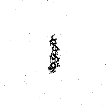 CCc1cnc(N2CCC(Oc3ncnc4c3CCN4c3ccc(S(C)(=O)=O)cc3F)CC2)nc1